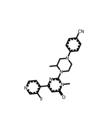 CC1CN(c2ccc(C#N)cc2)CCN1c1nc(-c2ccncc2F)cc(=O)n1C